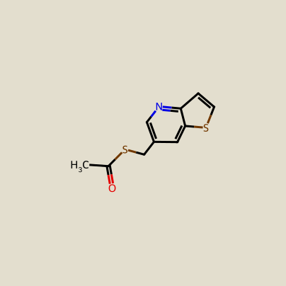 CC(=O)SCc1cnc2ccsc2c1